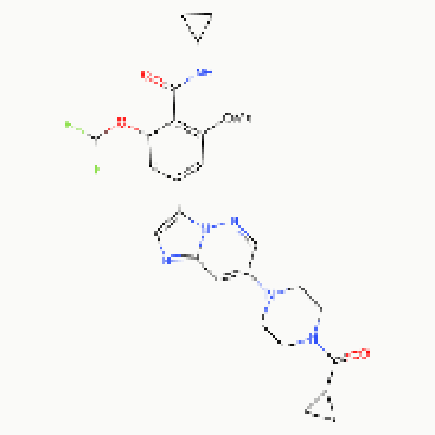 COc1cc(-c2cnc3cc(N4CCN(C(=O)C5CC5)CC4)cnn23)cc(OC(F)F)c1C(=O)NC1CC1